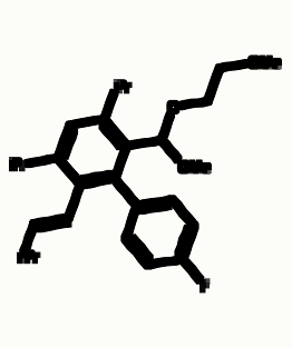 CCCC=Cc1c(C(C)C)cc(C(C)C)c(C(OC)OCCOC)c1-c1ccc(F)cc1